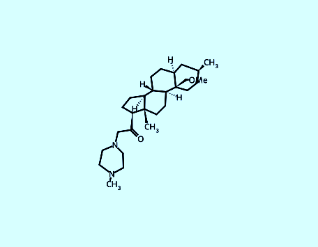 COC[C@]12CC[C@H](C)C[C@@H]1CC[C@H]1[C@@H]3CC[C@H](C(=O)CN4CCN(C)CC4)[C@@]3(C)CC[C@@H]12